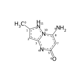 Cc1cc2nc(=O)cc(N)n2[nH]1